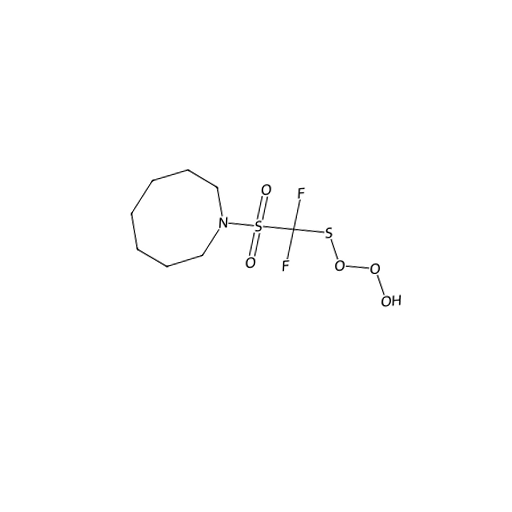 O=S(=O)(N1CCCCCCC1)C(F)(F)SOOO